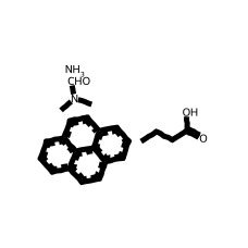 CCCC(=O)O.CN(C)C=O.N.c1cc2ccc3cccc4ccc(c1)c2c34